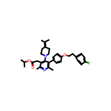 CC(C)=C1CCN(c2c(CC(=O)OC(C)C)c(C)nc(C)c2-c2ccc(OCCc3ccc(F)cc3)cc2)CC1